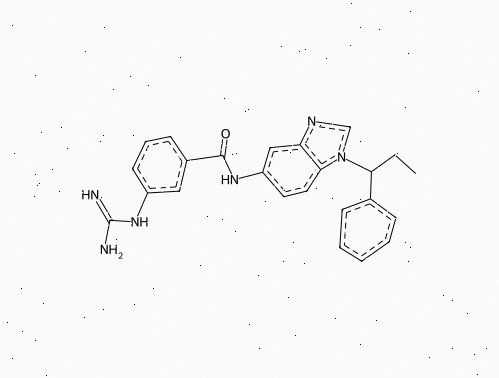 CCC(c1ccccc1)n1cnc2cc(NC(=O)c3cccc(NC(=N)N)c3)ccc21